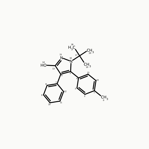 Cc1ccc(-c2c(-c3ccccc3)c(O)nn2C(C)(C)C)cc1